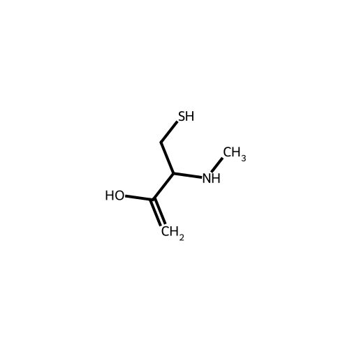 C=C(O)C(CS)NC